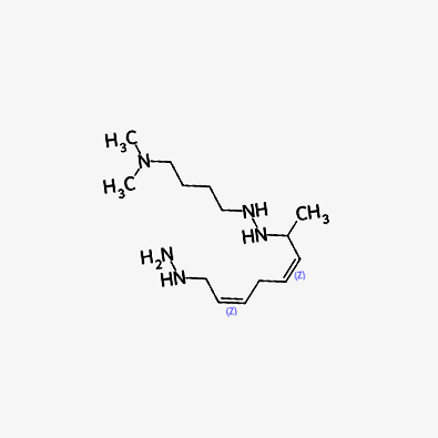 CC(/C=C\C/C=C\CNN)NNCCCCN(C)C